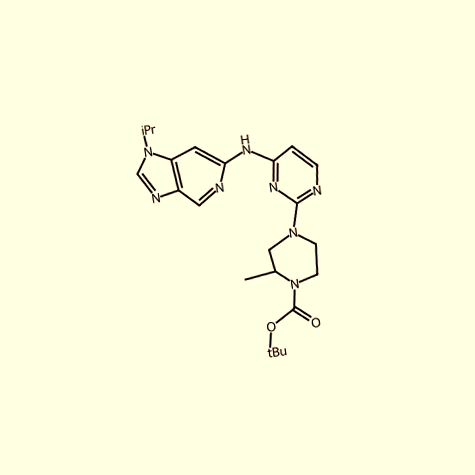 CC1CN(c2nccc(Nc3cc4c(cn3)ncn4C(C)C)n2)CCN1C(=O)OC(C)(C)C